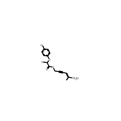 CCOC(=O)C(C)=CC#CCOC(=O)C(Cl)Oc1ccc(Cl)cc1